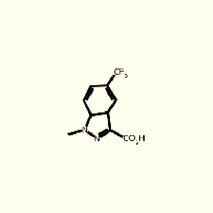 CN1N=C(C(=O)O)C2C=C(C(F)(F)F)C=CC21